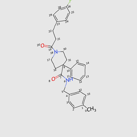 Cc1ccc(CNC(=O)C2(c3ccccc3)CCN(C(=O)CCc3ccc(F)cc3)CC2)cc1